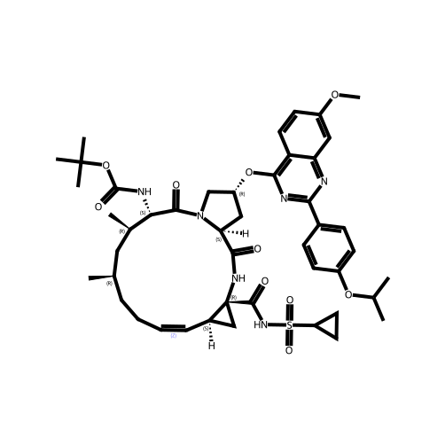 COc1ccc2c(O[C@@H]3C[C@H]4C(=O)N[C@]5(C(=O)NS(=O)(=O)C6CC6)C[C@H]5/C=C\CC[C@@H](C)C[C@@H](C)[C@H](NC(=O)OC(C)(C)C)C(=O)N4C3)nc(-c3ccc(OC(C)C)cc3)nc2c1